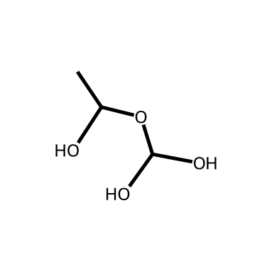 CC(O)OC(O)O